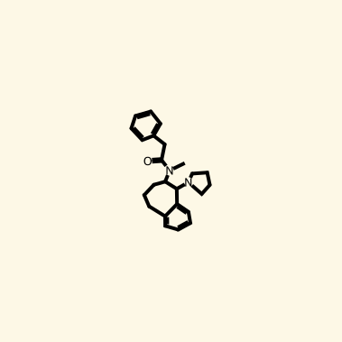 CN(C(=O)Cc1ccccc1)C1CCCc2ccccc2C1N1CCCC1